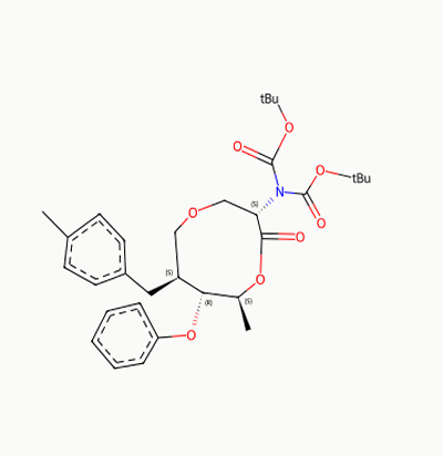 Cc1ccc(C[C@H]2COC[C@H](N(C(=O)OC(C)(C)C)C(=O)OC(C)(C)C)C(=O)O[C@@H](C)[C@@H]2Oc2ccccc2)cc1